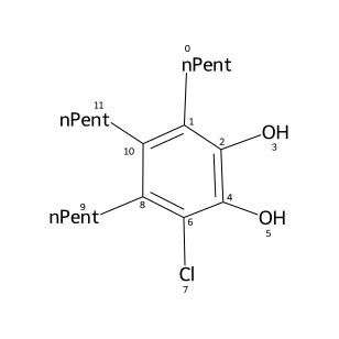 CCCCCc1c(O)c(O)c(Cl)c(CCCCC)c1CCCCC